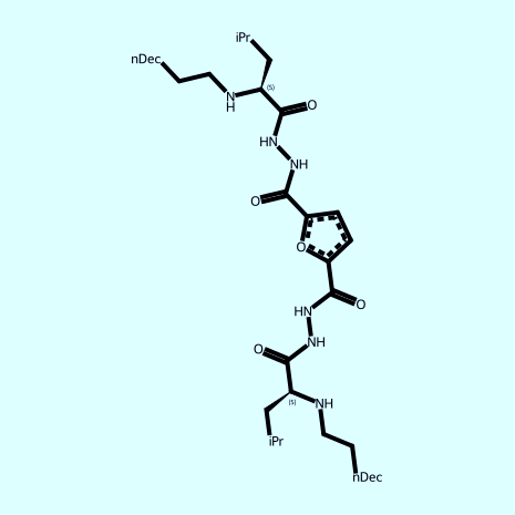 CCCCCCCCCCCCN[C@@H](CC(C)C)C(=O)NNC(=O)c1ccc(C(=O)NNC(=O)[C@H](CC(C)C)NCCCCCCCCCCCC)o1